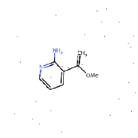 C=C(OC)c1cccnc1N